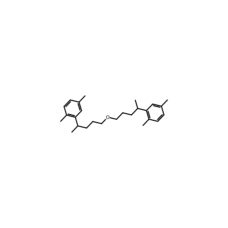 Cc1ccc(C)c(C(C)CCCOCCCC(C)c2cc(C)ccc2C)c1